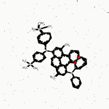 Cc1cc(N(c2ccccc2)c2ccccc2)c2c3ccccc3c3c(C)cc(B(c4ccc(S(C)(C)C)cc4)c4ccc(S(C)(C)C)cc4)c4ccc1c2c43